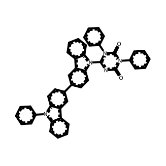 O=c1nc(-n2c3ccccc3c3cc(-c4ccc5c(c4)c4ccccc4n5-c4ccccc4)ccc32)n(-c2ccccc2)c(=O)n1-c1ccccc1